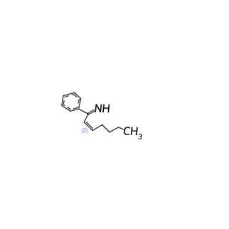 CCCC/C=C\C(=N)c1ccccc1